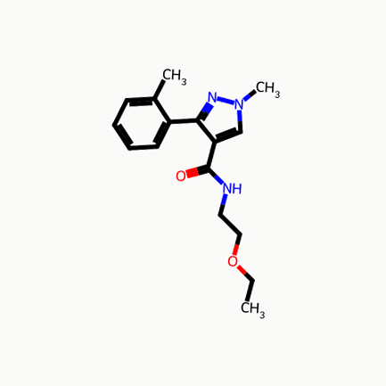 CCOCCNC(=O)c1cn(C)nc1-c1ccccc1C